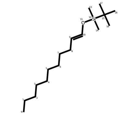 CCCCCCCCCC=CO[Si](C)(C)C(C)(C)C